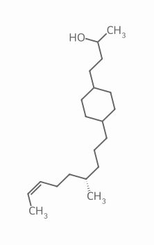 C/C=C\CC[C@@H](C)CCCC1CCC(CCC(C)O)CC1